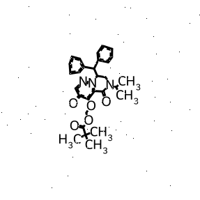 CC(C)N1CC(C(c2ccccc2)c2ccccc2)n2ncc(=O)c(OCOC(=O)C(C)(C)C)c2C1=O